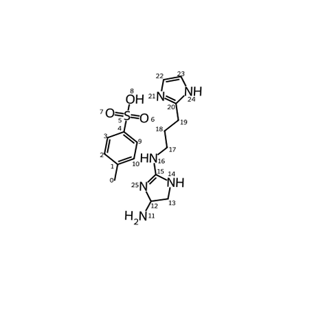 Cc1ccc(S(=O)(=O)O)cc1.NC1CNC(NCCCc2ncc[nH]2)=N1